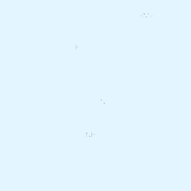 COc1ccc(-c2nc(Nc3ccccc3Cl)sc2C)c(F)c1